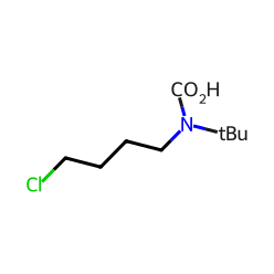 CC(C)(C)N(CCCCCl)C(=O)O